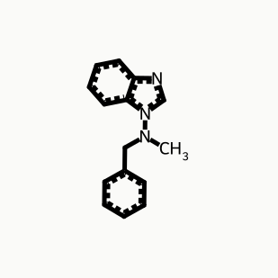 CN(Cc1ccccc1)n1cnc2ccccc21